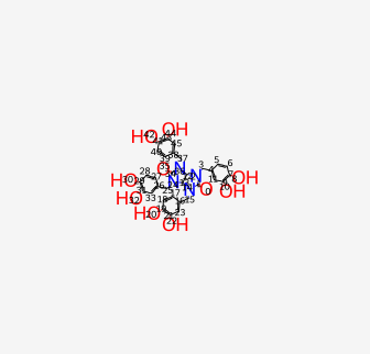 O=C1N(Cc2ccc(O)c(O)c2)C2C(N1Cc1ccc(O)c(O)c1)N(Cc1ccc(O)c(O)c1)C(=O)N2Cc1ccc(O)c(O)c1